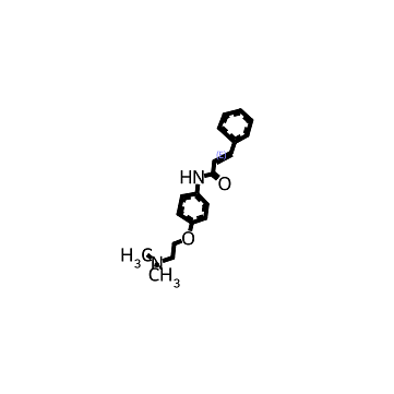 CN(C)CCOc1ccc(NC(=O)/C=C/c2ccccc2)cc1